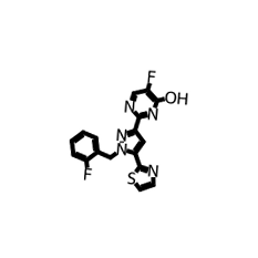 Oc1nc(-c2cc(-c3nccs3)n(Cc3ccccc3F)n2)ncc1F